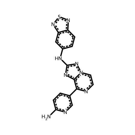 Nc1ccc(-c2nccn3nc(Nc4ccc5nsnc5c4)nc23)cn1